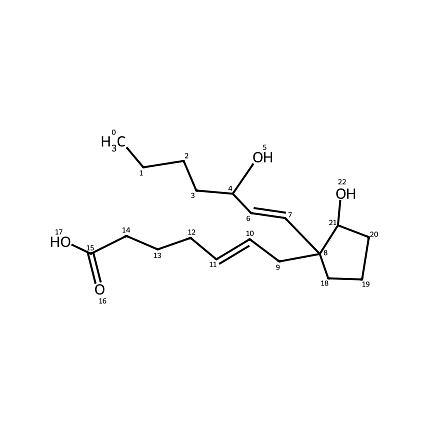 CCCCC(O)/C=C/C1(C/C=C/CCCC(=O)O)CCCC1O